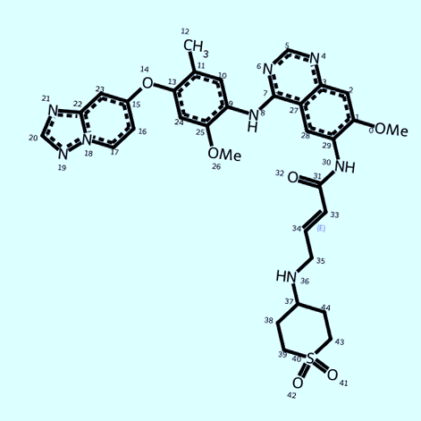 COc1cc2ncnc(Nc3cc(C)c(Oc4ccn5ncnc5c4)cc3OC)c2cc1NC(=O)/C=C/CNC1CCS(=O)(=O)CC1